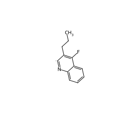 CCCc1[c]nc2ccccc2c1F